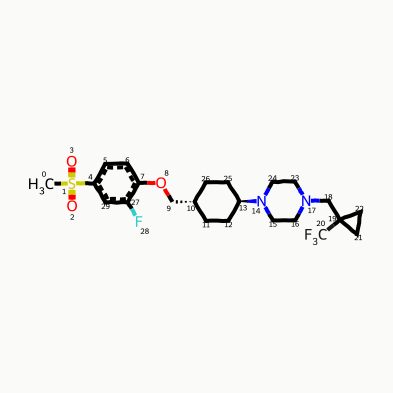 CS(=O)(=O)c1ccc(OC[C@H]2CC[C@H](N3CCN(CC4(C(F)(F)F)CC4)CC3)CC2)c(F)c1